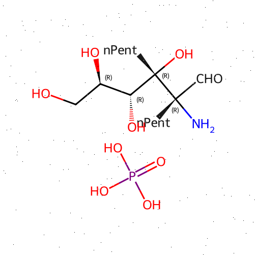 CCCCC[C@](N)(C=O)[C@](O)(CCCCC)[C@H](O)[C@H](O)CO.O=P(O)(O)O